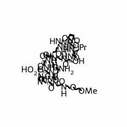 COCCOCCNC(=O)CNC(=O)[C@H](Cc1c[nH]cn1)NC(=O)[C@H](CC(N)=O)NC(=O)[C@H](CC(=O)O)NC(=O)[C@H](CO)NC(=O)[C@H](CCCNC(=N)N)NC(=O)CNC(=O)[C@H](CO)NC(=O)[C@H](CC(C)C)NC(=O)[C@H](CN)N1C(=O)C=CC1=O